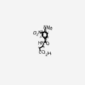 CNc1ccc(C(=O)NCCC(=O)O)cc1[N+](=O)[O-]